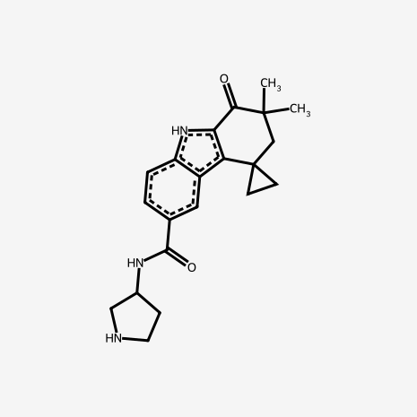 CC1(C)CC2(CC2)c2c([nH]c3ccc(C(=O)NC4CCNC4)cc23)C1=O